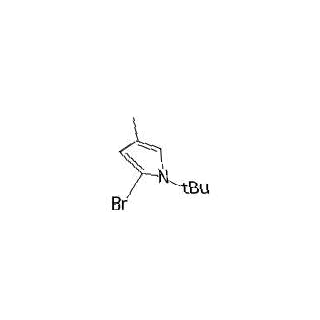 Cc1cc(Br)n(C(C)(C)C)c1